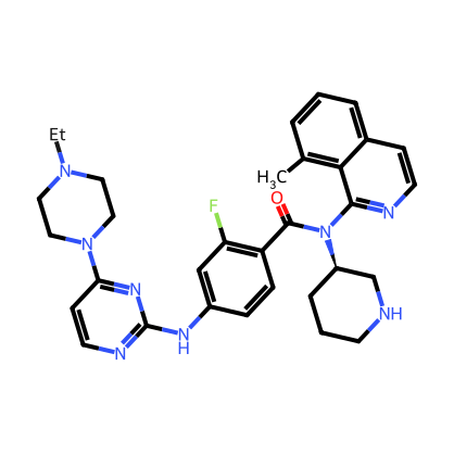 CCN1CCN(c2ccnc(Nc3ccc(C(=O)N(c4nccc5cccc(C)c45)[C@@H]4CCCNC4)c(F)c3)n2)CC1